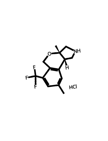 Cc1cc2c(c(C(F)(F)F)c1)CO[C@]1(C)CNC[C@H]21.Cl